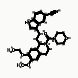 CCOc1cc2c(cc1OC)CCN(C(=O)N1CCOCC1)C2CCc1c[nH]c2ccc(C#N)cc12